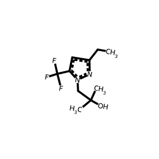 CCc1cc(C(F)(F)F)n(CC(C)(C)O)n1